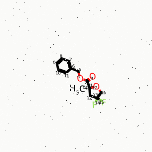 C[C@@]1(C(=O)OCc2ccccc2)CC(F)(F)CO1